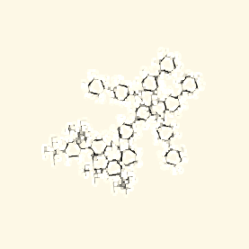 FC(F)(F)c1ccc(-c2ccc(-n3c4ccccc4c4cc(-c5cc6c7c(c5)N(c5ccc(-c8ccccc8)cc5)c5ccc(-c8ccccc8)cc5B7c5cc(-c7ccccc7)ccc5N6c5ccc(-c6ccccc6)cc5)ccc43)c(-c3ccc(C(F)(F)F)cc3C(F)(F)F)c2)c(C(F)(F)F)c1